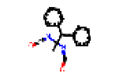 CC(N=C=O)(N=C=O)C(c1ccccc1)c1ccccc1